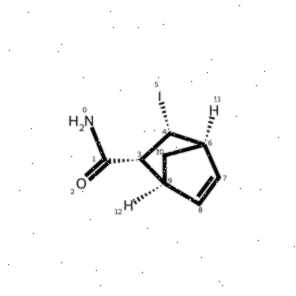 NC(=O)[C@@H]1[C@H](I)[C@H]2C=C[C@@H]1C2